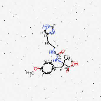 COc1ccc(C[C@](C)(NC(=O)NCCc2c[nH]cn2)C(=O)O)cc1